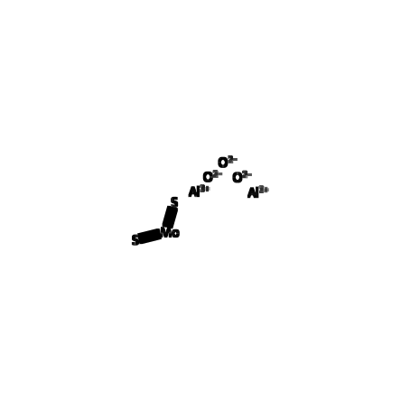 [Al+3].[Al+3].[O-2].[O-2].[O-2].[S]=[Mo]=[S]